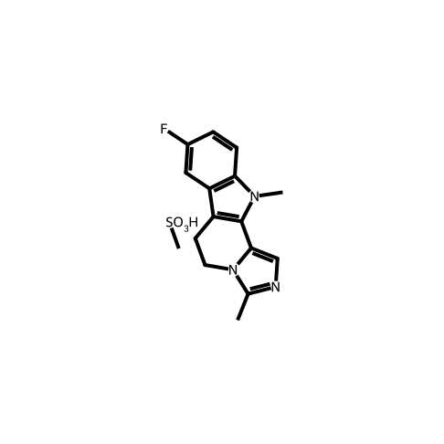 CS(=O)(=O)O.Cc1ncc2n1CCc1c-2n(C)c2ccc(F)cc12